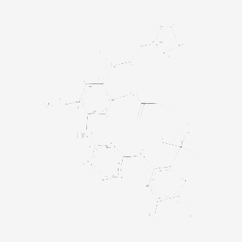 C=CC(=O)Nc1cc(Nc2ncnc(Nc3cc(Cl)c(F)cc3C(C)(C)O)n2)c(OC)cc1N(C)CCN1CCC[C@@H]1C